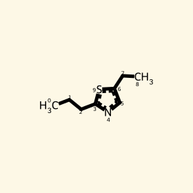 CCCc1ncc(CC)s1